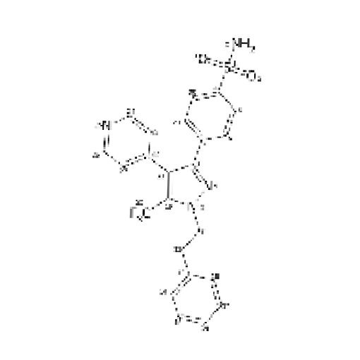 NS(=O)(=O)c1ccc(-c2nn(CCc3ccccc3)c(C(F)(F)F)c2-c2ccncc2)cc1